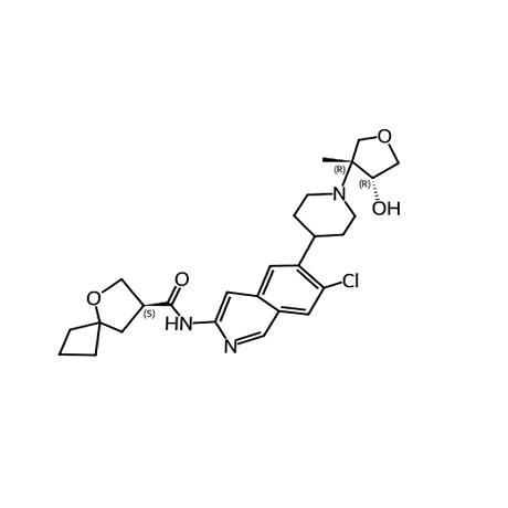 C[C@@]1(N2CCC(c3cc4cc(NC(=O)[C@@H]5COC6(CCC6)C5)ncc4cc3Cl)CC2)COC[C@@H]1O